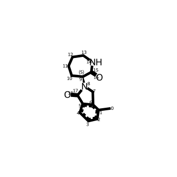 Cc1cccc2c1CN([C@H]1CCCCNC1=O)C2=O